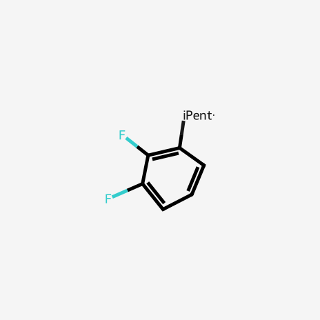 CCC[C](C)c1cccc(F)c1F